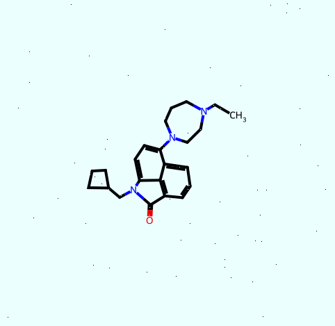 CCN1CCCN(c2ccc3c4c(cccc24)C(=O)N3CC2CCC2)CC1